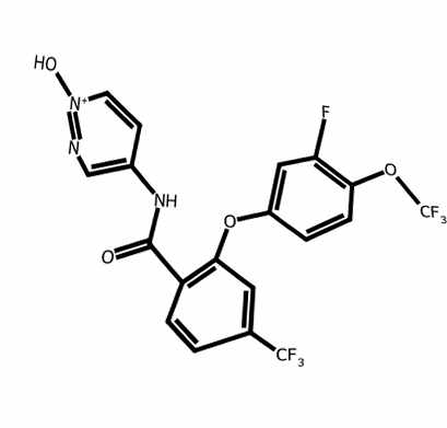 O=C(Nc1cc[n+](O)nc1)c1ccc(C(F)(F)F)cc1Oc1ccc(OC(F)(F)F)c(F)c1